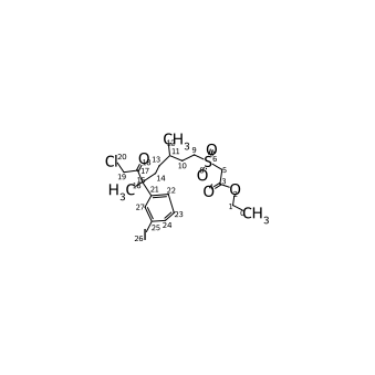 CCOC(=O)CS(=O)(=O)CCC(C)CCC(C)(C(=O)CCl)c1cccc(I)c1